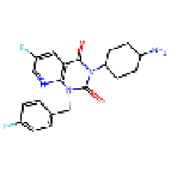 NC1CCC(n2c(=O)c3cc(F)cnc3n(Cc3ccc(F)cc3)c2=O)CC1